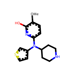 COc1ccc(N(c2ccsc2)C2CCNCC2)nc1O